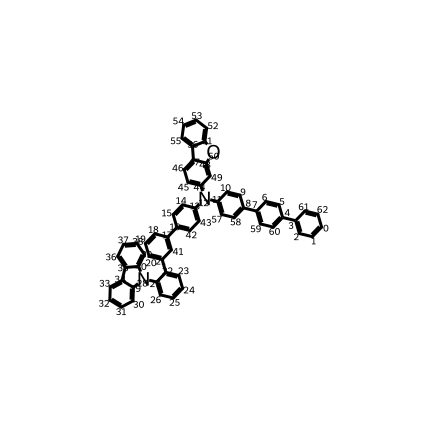 c1ccc(-c2ccc(-c3ccc(N(c4ccc(-c5cccc(-c6ccccc6-n6c7ccccc7c7ccccc76)c5)cc4)c4ccc5c(c4)oc4ccccc45)cc3)cc2)cc1